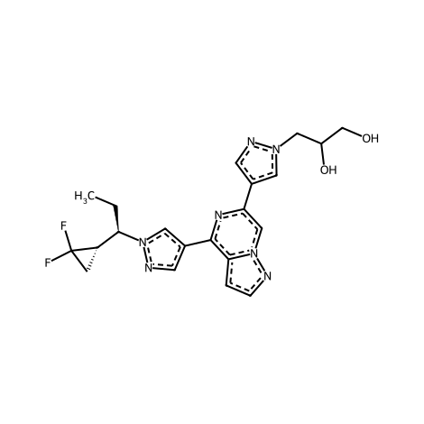 CC[C@H]([C@@H]1CC1(F)F)n1cc(-c2nc(-c3cnn(CC(O)CO)c3)cn3nccc23)cn1